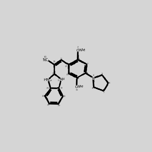 COc1cc(N2CCCC2)c(OC)cc1/C=C(/C#N)C1Nc2ccccc2N1